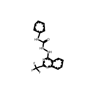 O=C(NNc1nc(C(F)(F)F)nc2ccccc12)Nc1ccccc1